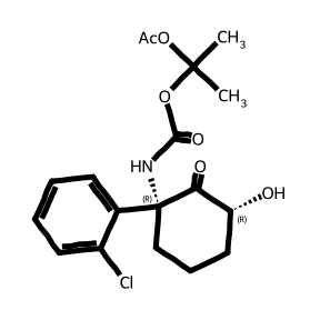 CC(=O)OC(C)(C)OC(=O)N[C@@]1(c2ccccc2Cl)CCC[C@@H](O)C1=O